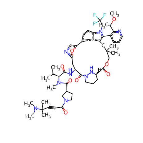 CO[C@@H](C)c1ncccc1-c1c2c3cc(ccc3n1CC(F)(F)F)-c1cnc(o1)C[C@H](NC(=O)[C@H](C(C)C)N(C)C(=O)[C@H]1CCN(C(=O)C#CC(C)(C)N(C)C)C1)C(=O)N1CCC[C@H](N1)C(=O)OCC(C)(C)C2